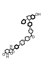 O=C1CCC(NC(=O)c2ccc(N3CCN(C4CCN(C(=O)C5CCN(c6ccc([C@@H]7c8ccc(O)cc8CC[C@@H]7c7ccccc7)cc6)CC5)CC4)CC3)cc2)C(=O)N1